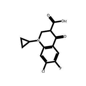 O=C(O)C1CN(C2CC2)c2cc(Cl)c(F)cc2C1=O